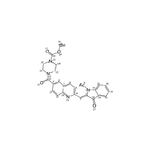 CC(=O)N1/C(=C\c2ccc3cc(C(=O)N4CCN(C(=O)OC(C)(C)C)CC4)ccc3n2)C(=O)c2ccccc21